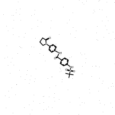 CC(C)(C)S(=O)(=O)Nc1ccc(C(=O)Nc2ccc(N3CCCC3=O)cc2)cc1